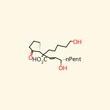 CCCCC[C@H](O)/C=C/[C@](CCCCCO)(C(=O)O)[C@H]1CCCC1=O